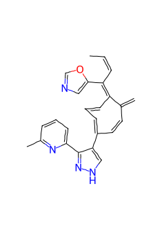 C=C1\C=C/C(c2c[nH]nc2-c2cccc(C)n2)=C/C=C/C1=C(/C=C\C)c1cnco1